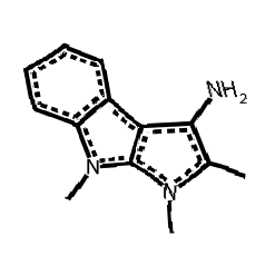 Cc1c(N)c2c3ccccc3n(C)c2n1C